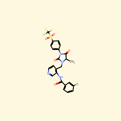 CC1C(=O)N(c2ccc(S(=O)(=O)C(F)(F)F)cc2)C(=O)N1Cc1ccncc1NC(=O)c1cccc(Cl)c1